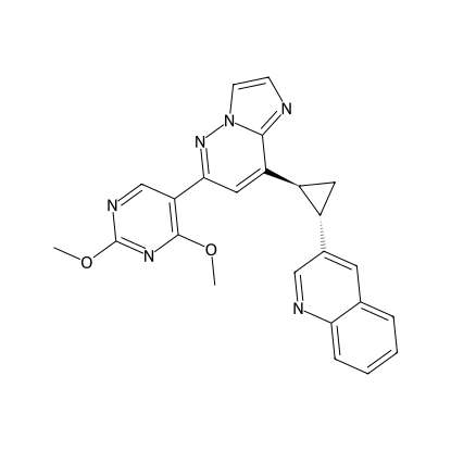 COc1ncc(-c2cc([C@H]3C[C@@H]3c3cnc4ccccc4c3)c3nccn3n2)c(OC)n1